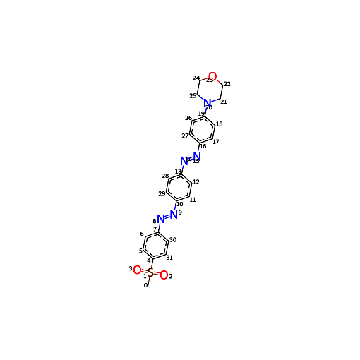 CS(=O)(=O)c1ccc(N=Nc2ccc(N=Nc3ccc(N4CCOCC4)cc3)cc2)cc1